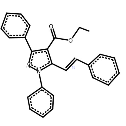 CCOC(=O)c1c(-c2ccccc2)nn(-c2ccccc2)c1/C=C/c1ccccc1